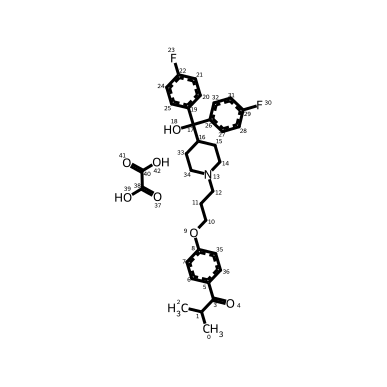 CC(C)C(=O)c1ccc(OCCCN2CCC(C(O)(c3ccc(F)cc3)c3ccc(F)cc3)CC2)cc1.O=C(O)C(=O)O